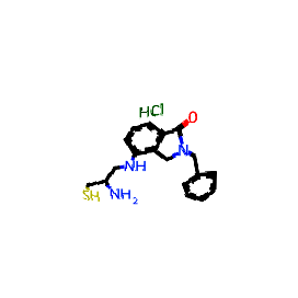 Cl.NC(CS)CNc1cccc2c1CN(Cc1ccccc1)C2=O